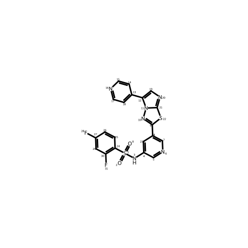 O=S(=O)(Nc1cncc(-c2nn3c(-c4ccncc4)cnc3s2)c1)c1ccc(F)cc1F